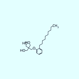 CCCCCCCCCCc1ccccc1OCC(CO)(CO)CO